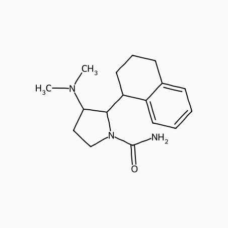 CN(C)C1CCN(C(N)=O)C1C1CCCc2ccccc21